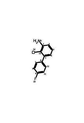 Nc1cccc(-c2ccc(F)cc2)c1Cl